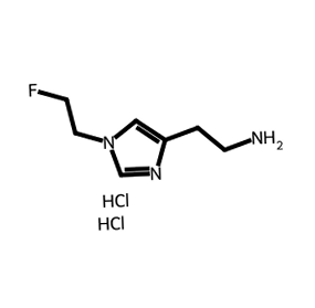 Cl.Cl.NCCc1cn(CCF)cn1